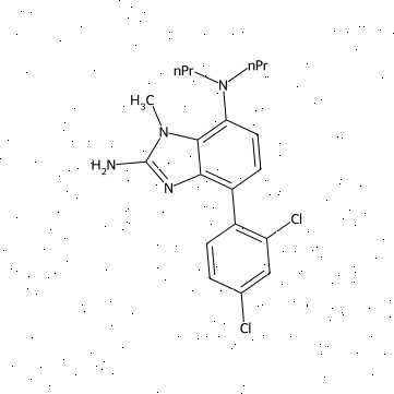 CCCN(CCC)c1ccc(-c2ccc(Cl)cc2Cl)c2nc(N)n(C)c12